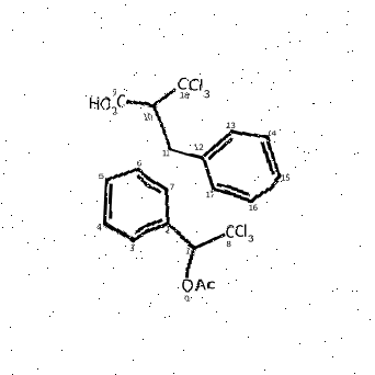 CC(=O)OC(c1ccccc1)C(Cl)(Cl)Cl.O=C(O)C(Cc1ccccc1)C(Cl)(Cl)Cl